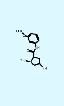 CN1CC(S)CC1C(=O)Nc1cccc(OC=O)c1